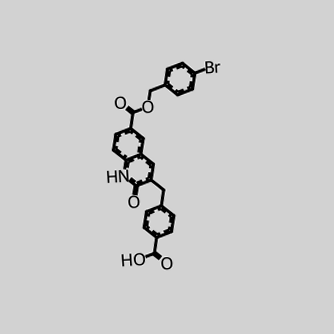 O=C(O)c1ccc(Cc2cc3cc(C(=O)OCc4ccc(Br)cc4)ccc3[nH]c2=O)cc1